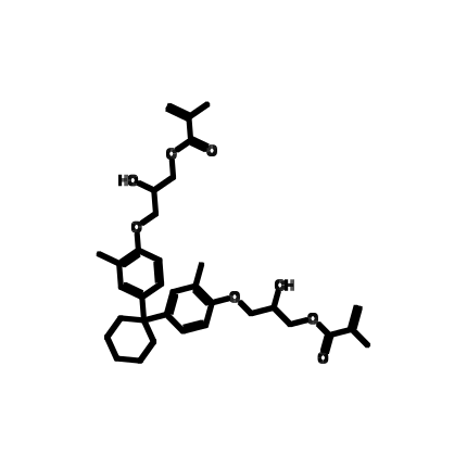 C=C(C)C(=O)OCC(O)COc1ccc(C2(c3ccc(OCC(O)COC(=O)C(=C)C)c(C)c3)CCCCC2)cc1C